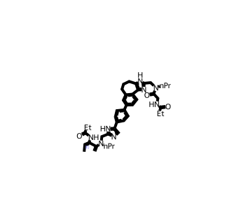 C=C(/C(=C\C)NC(=O)CC)N(CCC)Cc1ncc(-c2ccc(-c3ccc4c(c3)CCCc3[nH]c(CN(CCC)C(=O)CNC(=O)CC)nc3-4)cc2)[nH]1